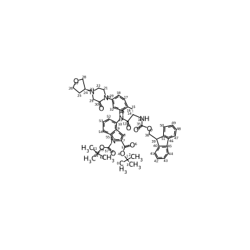 CC(C)(C)OC(=O)c1cc2c(NC(=O)[C@H](Cc3ccc(N4CCN([C@H]5CCOC5)CC4=O)cc3)NC(=O)OCC3c4ccccc4-c4ccccc43)cccc2n1C(=O)OC(C)(C)C